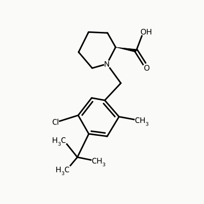 Cc1cc(C(C)(C)C)c(Cl)cc1CN1CCCC[C@H]1C(=O)O